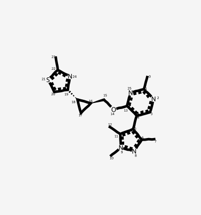 Cc1ncc(-c2c(C)nn(C)c2C)c(OC[C@H]2C[C@@H]2c2csc(C)n2)n1